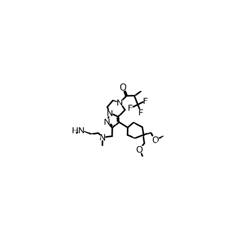 CNCCN(C)Cc1nn2c(c1C1CCC(COC)(COC)CC1)CN(C(=O)C(C)C(F)(F)F)CC2